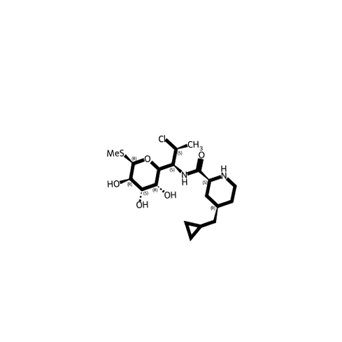 CS[C@H]1OC([C@H](NC(=O)[C@@H]2C[C@H](CC3CC3)CCN2)[C@H](C)Cl)[C@H](O)[C@H](O)[C@H]1O